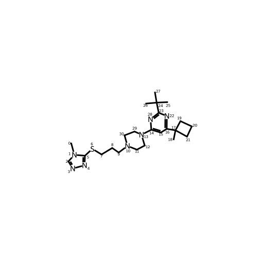 Cn1cnnc1SCCCN1CCN(c2cc(C3(C)CCC3)nc(C(C)(C)C)n2)CC1